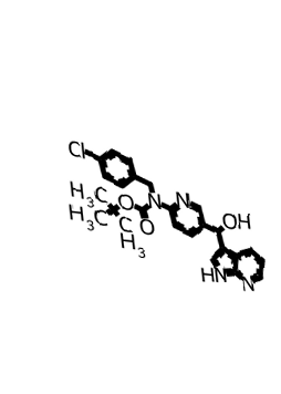 CC(C)(C)OC(=O)N(Cc1ccc(Cl)cc1)c1ccc(C(O)c2c[nH]c3ncccc23)cn1